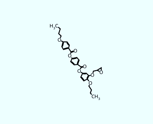 CCCCOc1ccc(C(=O)Oc2ccc(C(=O)Oc3ccc(OCCCC)c(OCC4CO4)c3)cc2)cc1